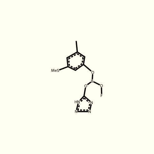 CSc1cc(C)cc(OB(OF)Oc2nnn[nH]2)c1